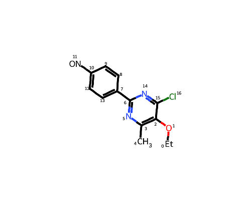 CCOc1c(C)nc(-c2ccc(N=O)cc2)nc1Cl